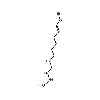 CCOC=CCCCCNCNNC(=O)O